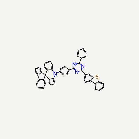 c1ccc(-c2nc(-c3ccc(N4c5ccccc5C5(c6ccccc6-c6ccccc65)c5ccccc54)cc3)nc(-c3ccc4c(c3)sc3ccccc34)n2)cc1